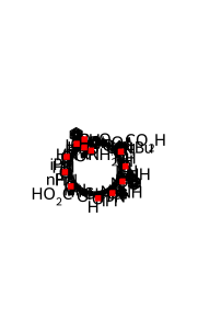 CCC[C@@H]1NC(=O)[C@H](CCC(=O)O)NC(=O)CNC(=O)[C@H](CC(C)C)NC(=O)[C@H](Cc2c[nH]cn2)NC(=O)[C@H](Cc2c[nH]c3ccccc23)NC(=O)[C@H](C)NC(=O)[C@@H](NC(=O)[C@H](CC(=O)O)NC(C)(C)C)CCC(=O)N2CCC(C(=O)N[C@H](C(N)=O)[C@@H](C)O)(CC2)NC(=O)[C@H](Cc2c[nH]c3ccccc23)NC(=O)[C@H](C(C)C)NC1=O